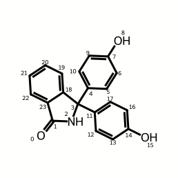 O=C1NC(c2ccc(O)cc2)(c2ccc(O)cc2)c2ccccc21